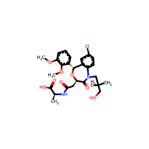 COc1cccc([C@H]2O[C@H](CC(=O)N[C@@H](C)C(=O)O)C(=O)N(CC(C)(C)CO)c3ccc(Cl)cc32)c1OC